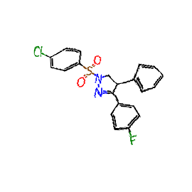 O=S(=O)(c1ccc(Cl)cc1)N1CC(c2ccccc2)C(c2ccc(F)cc2)=N1